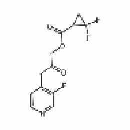 O=C(COC(=O)C1CC1(F)F)Cc1ccncc1F